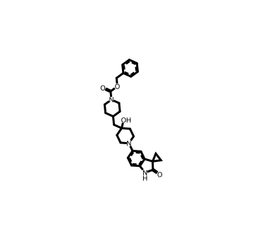 O=C(OCc1ccccc1)N1CCC(CC2(O)CCN(c3ccc4c(c3)C3(CC3)C(=O)N4)CC2)CC1